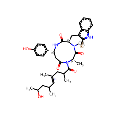 C/C(=C\C(C)CC(C)O)CC(C)C(=O)N1C(=O)C[C@H](c2ccc(O)cc2)NC(=O)[C@@H](Cc2c(Br)[nH]c3ccccc23)N(C)C(=O)[C@@H]1C